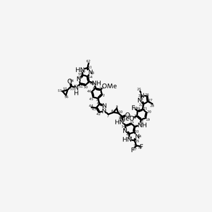 COc1cc(-c2nn(CC3CC3C(=O)Nc3cc(Nc4ccc(-c5nn(C)cc5C)c(F)c4OC)c4nc(C(F)F)[nH]c4n3)cc2C)ccc1Nc1cc(NC(=O)C2CC2)nc2[nH]c(C)nc12